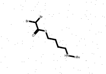 CCCCNCCCCOC(=O)C(Br)Br